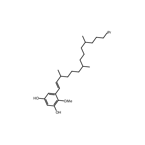 COc1c(O)cc(O)cc1C=CC(C)CCCC(C)CCCC(C)CCCC(C)C